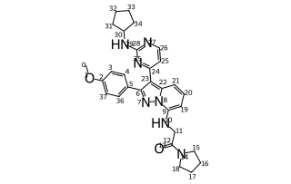 COc1ccc(-c2nn3c(NCC(=O)N4CCCC4)cccc3c2-c2ccnc(NC3CCCC3)n2)cc1